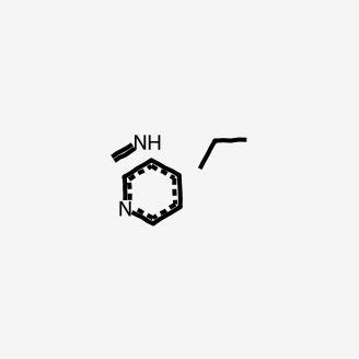 C=N.CCC.c1ccncc1